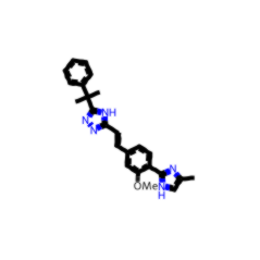 COc1cc(C=Cc2nnc(C(C)(C)c3ccccc3)[nH]2)ccc1-c1nc(C)c[nH]1